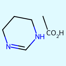 C1=NCCCN1.CC(=O)O